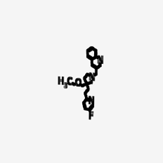 CCOCC1(CCc2ccc(F)cn2)CCN(Cc2cnc3ccccc3c2)C1